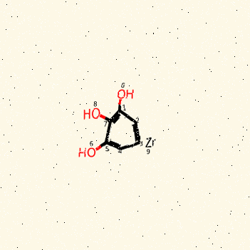 Oc1cccc(O)c1O.[Zr]